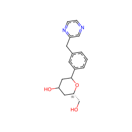 OC[C@@H]1CC(O)CC(c2cccc(Cc3cnccn3)c2)O1